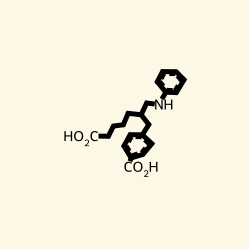 O=C(O)CCCCC(CNc1ccccc1)Cc1ccc(C(=O)O)cc1